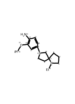 CCN1CCCC12CCN(c1ccc(N)c(OC(C)C)c1)C2